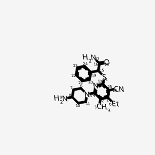 CCc1c(C)c(N2CCC(N)CC2)nc(SC(C(N)=O)c2ccccc2)c1C#N